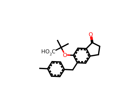 Cc1ccc(Cc2cc3c(cc2OC(C)(C)C(=O)O)C(=O)CC3)cc1